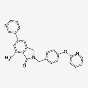 Cc1cc(-c2cccnc2)cc2c1C(=O)N(Cc1ccc(Oc3ccccn3)cc1)C2